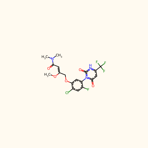 COC(=CC(=O)N(C)C)COc1cc(-n2c(=O)cc(C(F)(F)F)[nH]c2=O)c(F)cc1Cl